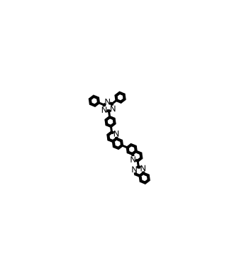 c1ccc(-c2nc(-c3ccccc3)nc(-c3ccc(-c4ccc5ccc(-c6ccc7ccc(-c8ncc9ccccc9n8)nc7c6)cc5n4)cc3)n2)cc1